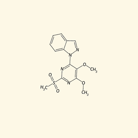 COc1nc(S(C)(=O)=O)nc(-n2ncc3ccccc32)c1OC